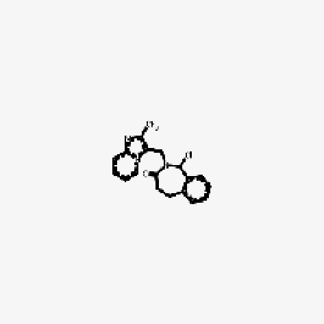 O=C1CCc2ccccc2C(Cl)N1Cc1c(C(F)(F)F)nc2ccccn12